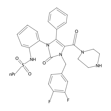 CCCS(=O)(=O)Nc1ccccc1-n1c(-c2ccccc2)c(C(=O)N2CCNCC2)n(Cc2ccc(F)c(F)c2)c1=O